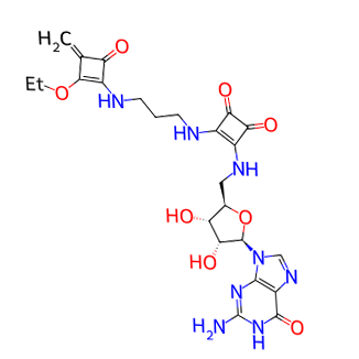 C=C1C(=O)C(NCCCNc2c(NC[C@H]3O[C@@H](n4cnc5c(=O)[nH]c(N)nc54)[C@H](O)[C@@H]3O)c(=O)c2=O)=C1OCC